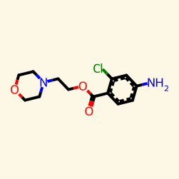 Nc1ccc(C(=O)OCCN2CCOCC2)c(Cl)c1